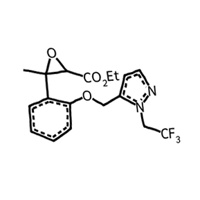 CCOC(=O)C1OC1(C)c1ccccc1OCc1ccnn1CC(F)(F)F